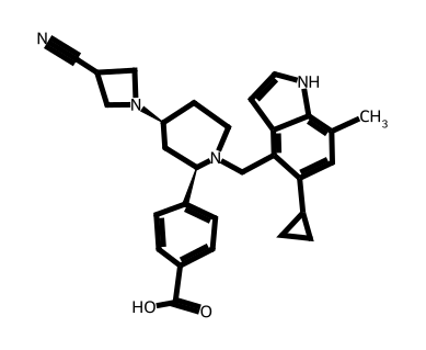 Cc1cc(C2CC2)c(CN2CC[C@H](N3CC(C#N)C3)C[C@@H]2c2ccc(C(=O)O)cc2)c2cc[nH]c12